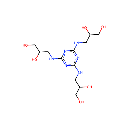 OCC(O)CNc1nc(NCC(O)CO)nc(NCC(O)CO)n1